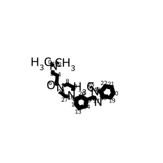 CN(C)CCC(=O)N1CCN(c2cccc(-c3nc4ccccc4n3C)c2)CC1